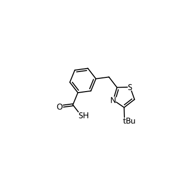 CC(C)(C)c1csc(Cc2cccc(C(=O)S)c2)n1